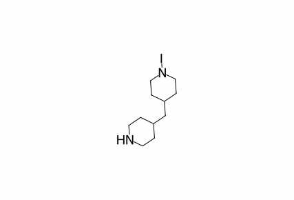 IN1CCC(CC2CCNCC2)CC1